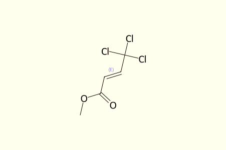 COC(=O)/C=C/C(Cl)(Cl)Cl